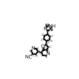 N#Cc1cncc(-c2ccnc3cc(-c4ccc(-c5nn[nH]n5)cc4)oc23)c1